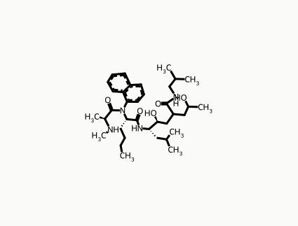 CCCC[C@@H](C(=O)N[C@@H](CC(C)C)[C@@H](O)CC(CC(C)O)C(=O)NCC(C)C)N(C(=O)[C@H](C)NC)c1cccc2ccccc12